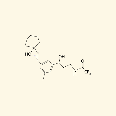 Cc1cc(/C=C/C2(O)CCCCC2)cc(C(O)CCNC(=O)C(F)(F)F)c1